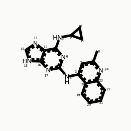 Cc1cc(Nc2nc(NC3CC3)c3nc[nH]c3n2)c2ccccc2n1